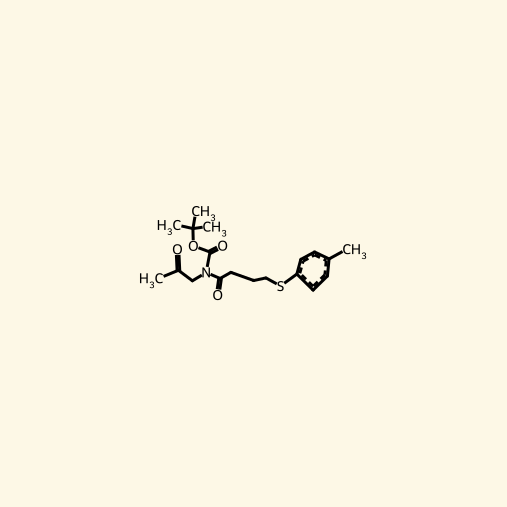 CC(=O)CN(C(=O)CCCSc1ccc(C)cc1)C(=O)OC(C)(C)C